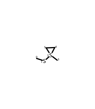 CSS1(C)CC1